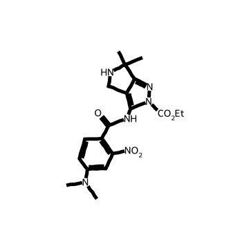 CCOC(=O)n1nc2c(c1NC(=O)c1ccc(N(C)C)cc1[N+](=O)[O-])CNC2(C)C